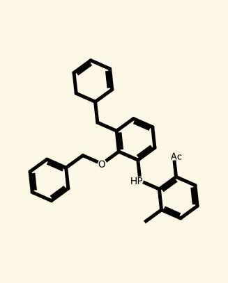 CC(=O)c1cccc(C)c1Pc1cccc(CC2C=CC=CC2)c1OCc1ccccc1